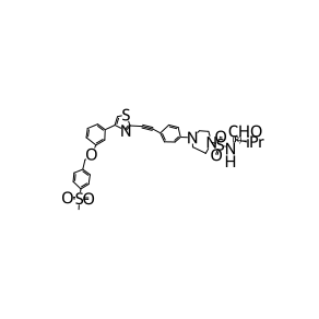 CC(C)[C@H](C=O)NS(=O)(=O)N1CCN(c2ccc(C#Cc3nc(-c4cccc(OCc5ccc(S(C)(=O)=O)cc5)c4)cs3)cc2)CC1